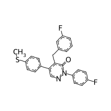 CSc1ccc(-c2cnn(-c3ccc(F)cc3)c(=O)c2Cc2cccc(F)c2)cc1